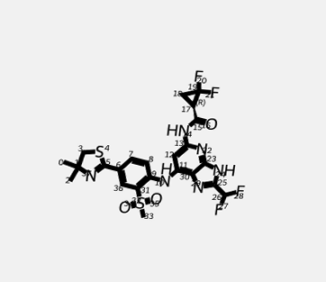 CC1(C)CSC(c2ccc(Nc3cc(NC(=O)[C@H]4CC4(F)F)nc4[nH]c(C(F)F)nc34)c(S(C)(=O)=O)c2)=N1